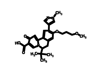 COCCCOc1cc2c(cc1-c1cnn(C)c1)-c1cc(=O)c(C(=O)O)cn1C(C(C)(C)C)C2